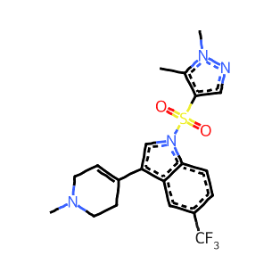 Cc1c(S(=O)(=O)n2cc(C3=CCN(C)CC3)c3cc(C(F)(F)F)ccc32)cnn1C